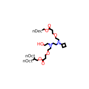 CCCCCCCCCCCOC(=O)CCOCCN(CCN(CCO)CCOCCC(=O)OCC(CCCCCCCC)CCCCCCCC)C1CCC1